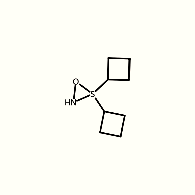 C1CC(S2(C3CCC3)NO2)C1